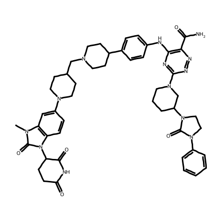 Cn1c(=O)n(C2CCC(=O)NC2=O)c2ccc(N3CCC(CN4CCC(c5ccc(Nc6nc(N7CCCC(N8CCN(c9ccccc9)C8=O)C7)nnc6C(N)=O)cc5)CC4)CC3)cc21